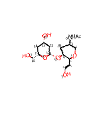 CC(=O)N[C@H]1COC(/C=C/O)[C@@H](O[C@H]2C[C@@H](O)C[C@@H](CO)O2)C1